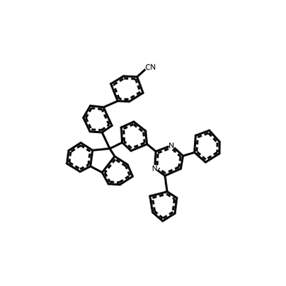 N#Cc1ccc(-c2cccc(C3(c4cccc(-c5nc(-c6ccccc6)cc(-c6ccccc6)n5)c4)c4ccccc4-c4ccccc43)c2)cc1